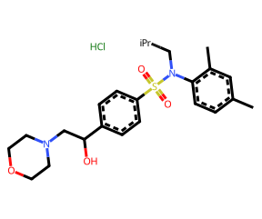 Cc1ccc(N(CC(C)C)S(=O)(=O)c2ccc(C(O)CN3CCOCC3)cc2)c(C)c1.Cl